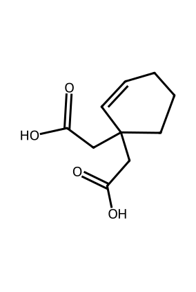 O=C(O)CC1(CC(=O)O)C=CCCC1